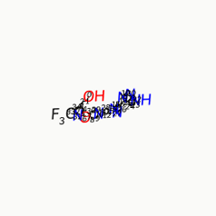 OCCc1cc(OC2CCN(C3C[C](n4cc(-c5ncnc6[nH]ccc56)cn4)C3)CC2)nc(C(F)(F)F)c1